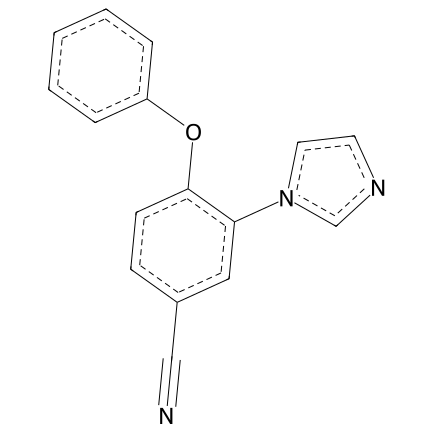 N#Cc1ccc(Oc2ccccc2)c(-n2ccnc2)c1